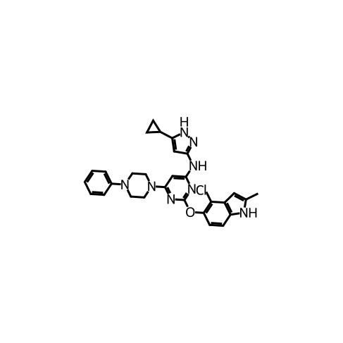 Cc1cc2c(Cl)c(Oc3nc(Nc4cc(C5CC5)[nH]n4)cc(N4CCN(c5ccccc5)CC4)n3)ccc2[nH]1